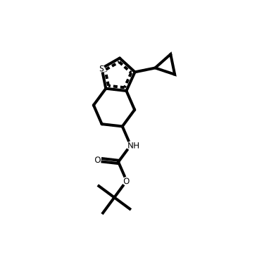 CC(C)(C)OC(=O)NC1CCc2scc(C3CC3)c2C1